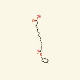 O=C(O)CCCCCCCCCCCC(=O)OCc1ccccc1